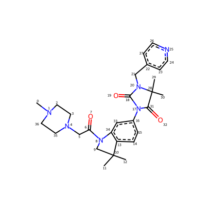 CN1CCN(CC(=O)N2CC(C)(C)c3ccc(N4C(=O)N(Cc5ccncc5)C(C)(C)C4=O)cc32)CC1